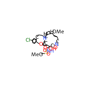 COCCS(=O)(=O)NC(=O)[C@@]1(O)CC(=O)N(C)CC/C=C/[C@H](OC)[C@@H]2CC[C@H]2CN2CCCCc3cc(Cl)ccc3COc3ccc1cc32